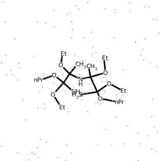 CCCOC([SiH3])(OCC)C(C)(NC(C)(OCC)C([SiH3])(OCC)OCCC)OCC